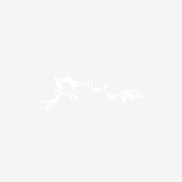 CCOC(=O)CCCSc1ccc(C)s1